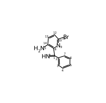 N=C(c1ccccc1)c1nc(Br)ccc1N